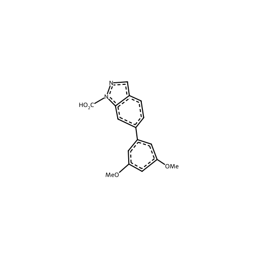 COc1cc(OC)cc(-c2ccc3cnn(C(=O)O)c3c2)c1